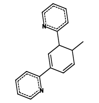 CC1C=CC(c2ccccn2)=CC1c1ccccn1